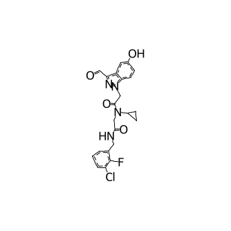 O=Cc1nn(CC(=O)N(CC(=O)NCc2cccc(Cl)c2F)C2CC2)c2ccc(O)cc12